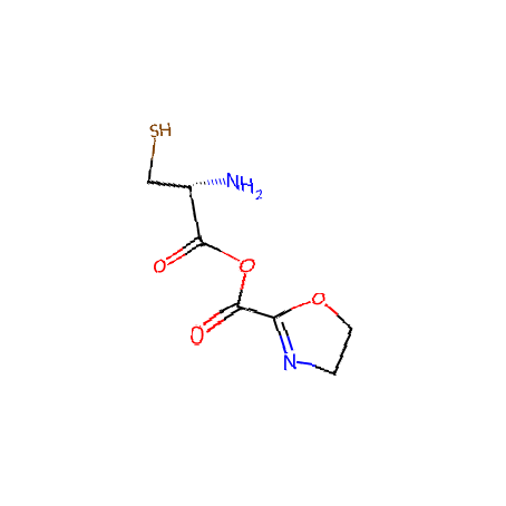 N[C@@H](CS)C(=O)OC(=O)C1=NCCO1